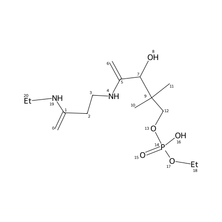 C=C(CCNC(=C)C(O)C(C)(C)COP(=O)(O)OCC)NCC